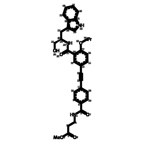 COC(=O)CCNC(=O)c1ccc(C#Cc2ccc(OC(C)C)c(C(=O)N[C@@H](CO)Cc3c[nH]c4ccccc34)c2)cc1